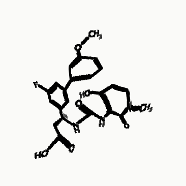 COc1cccc(-c2cc(F)cc([C@H](CC(=O)O)NC(=O)Nc3c(O)ccn(C)c3=O)c2)c1